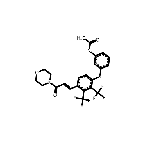 CC(=O)Nc1cccc(Sc2ccc(C=CC(=O)N3CCOCC3)c(C(F)(F)F)c2C(F)(F)F)c1